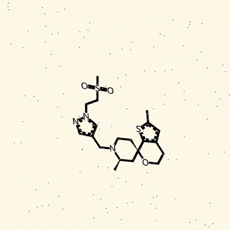 Cc1cc2c(s1)[C@]1(CCN(Cc3cnn(CCS(C)(=O)=O)c3)[C@H](C)C1)OCC2